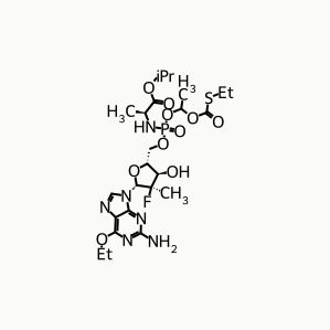 CCOc1nc(N)nc2c1ncn2[C@@H]1O[C@H](COP(=O)(N[C@@H](C)C(=O)OC(C)C)OC(C)OC(=O)SCC)[C@@H](O)[C@@]1(C)F